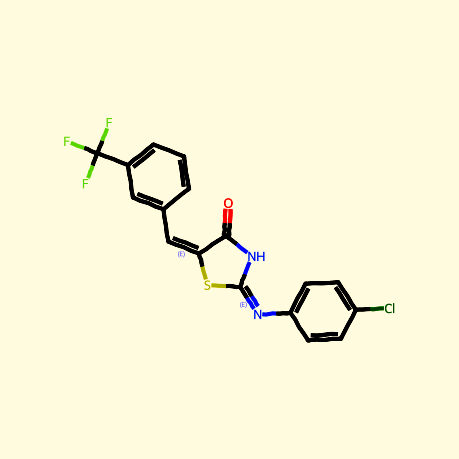 O=C1N/C(=N\c2ccc(Cl)cc2)S/C1=C/c1cccc(C(F)(F)F)c1